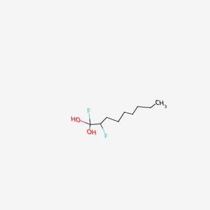 CCCCCCCC(F)C(O)(O)F